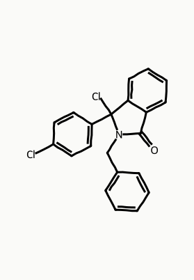 O=C1c2ccccc2C(Cl)(c2ccc(Cl)cc2)N1Cc1ccccc1